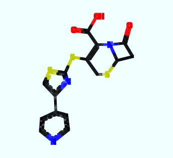 O=C(O)C1=C(Sc2nc(-c3ccncc3)cs2)CSC2CC(=O)N12